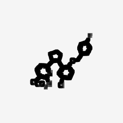 O=C(O)c1nc(C2=C(c3cc(Cl)ccc3OCc3ccc(F)cc3)CCC2)ccc1Cl